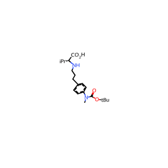 CC(C)[C@H](NCCCc1ccc(N(C)C(=O)OC(C)(C)C)cc1)C(=O)O